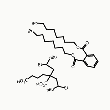 CC(C)CCCCCCCOC(=O)c1ccccc1C(=O)OCCCCCCCC(C)C.CCCCC(CC)CC(CCCC(=O)O)(CC(CC)CCCC)C(=O)O